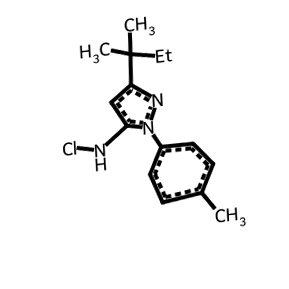 CCC(C)(C)c1cc(NCl)n(-c2ccc(C)cc2)n1